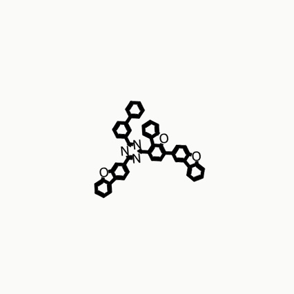 c1ccc(-c2cccc(-c3nc(-c4ccc5c(c4)oc4ccccc45)nc(-c4ccc(-c5ccc6oc7ccccc7c6c5)c5oc6ccccc6c45)n3)c2)cc1